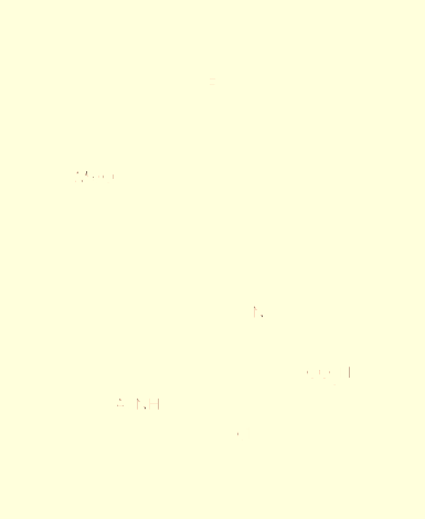 COc1c(CF)ccc(-c2cc(NC(C)=O)c(Cl)c(C(=O)O)n2)c1F